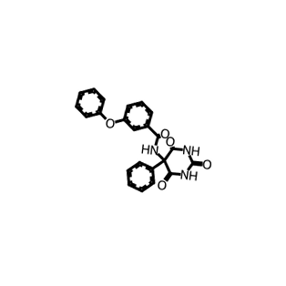 O=C1NC(=O)C(NC(=O)c2cccc(Oc3ccccc3)c2)(c2ccccc2)C(=O)N1